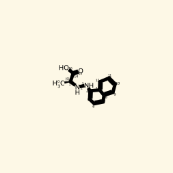 C[C@H](NNc1cccc2ccccc12)C(=O)O